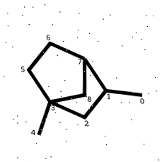 CC1CC2(C)CCC1C2